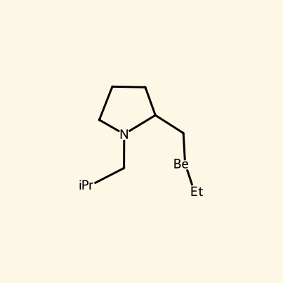 C[CH2][Be][CH2]C1CCCN1CC(C)C